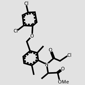 COC(=O)C(C)N(C(=O)CCl)c1c(C)ccc(COc2ccc(Cl)cc2Cl)c1C